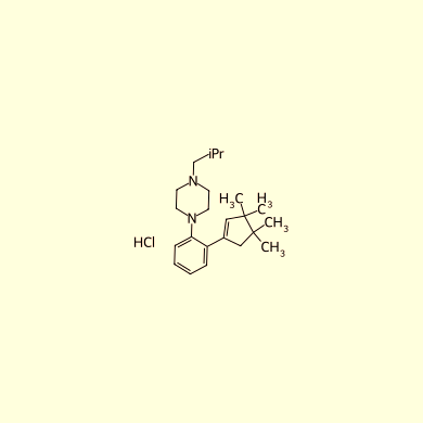 CC(C)CN1CCN(c2ccccc2C2=CC(C)(C)C(C)(C)C2)CC1.Cl